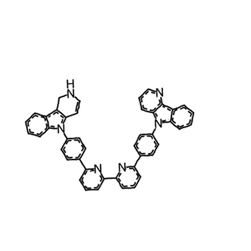 C1=Cc2c(c3ccccc3n2-c2ccc(-c3cccc(-c4cccc(-c5ccc(-n6c7ccccc7c7ncccc76)cc5)n4)n3)cc2)CN1